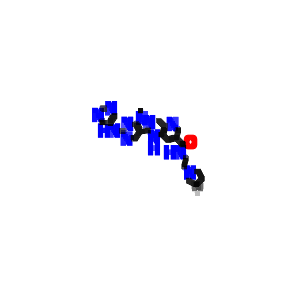 Cc1ncc(C(=O)NCCN2CC[C@H](C)C2)cc1Nc1nn(C)c2nc(Nc3cncnc3)ncc12